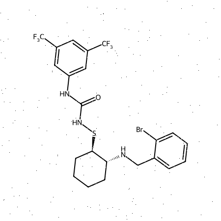 O=C(NS[C@@H]1CCCC[C@H]1NCc1ccccc1Br)Nc1cc(C(F)(F)F)cc(C(F)(F)F)c1